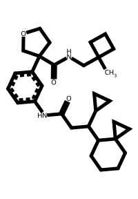 CC1(CNC(=O)C2(c3cccc(NC(=O)CC(C4CC4)C4CCCCC45CC5)c3)CCOC2)CCC1